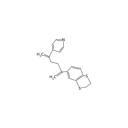 C=C(CCC(=C)c1ccc2c(c1)SCCS2)c1ccncc1